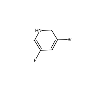 FC1=[C]NCC(Br)=C1